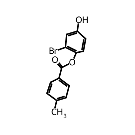 Cc1ccc(C(=O)Oc2ccc(O)cc2Br)cc1